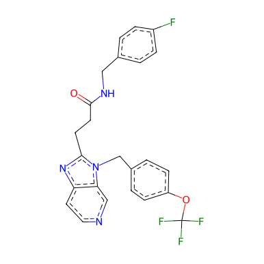 O=C(CCc1nc2ccncc2n1Cc1ccc(OC(F)(F)F)cc1)NCc1ccc(F)cc1